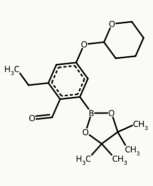 CCc1cc(OC2CCCCO2)cc(B2OC(C)(C)C(C)(C)O2)c1C=O